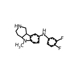 CN1c2ccc(Nc3ccc(F)c(F)c3)cc2C2CNCCC21